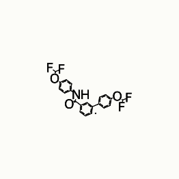 O=C(Nc1ccc(OC(F)F)cc1)c1cc[c]c(-c2ccc(OC(F)F)cc2)c1